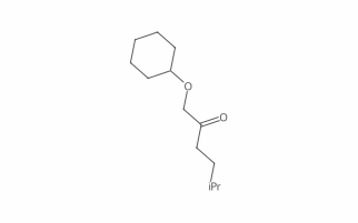 CC(C)CCC(=O)COC1CCCCC1